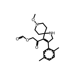 CON1CCC2(CC1)NCC(c1cc(C)ccc1C)=C2C(=O)COC=O